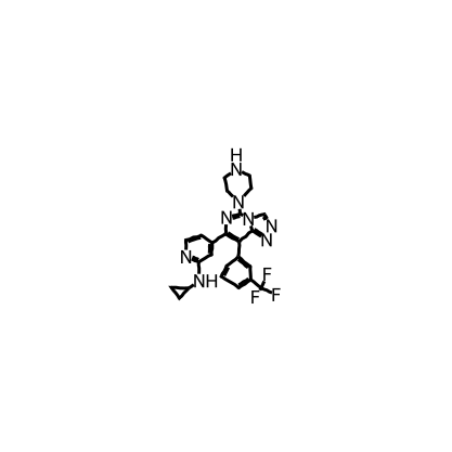 FC(F)(F)c1cccc(-c2c(-c3ccnc(NC4CC4)c3)nc(N3CCNCC3)n3cnnc23)c1